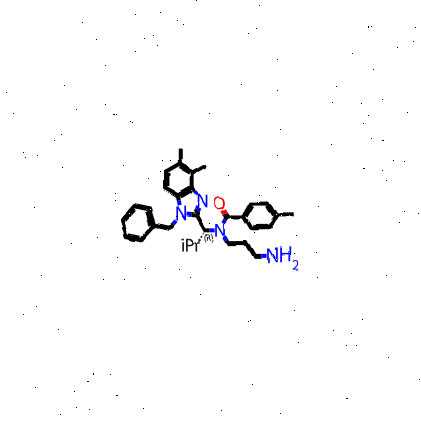 Cc1ccc(C(=O)N(CCCN)[C@@H](c2nc3c(C)c(C)ccc3n2Cc2ccccc2)C(C)C)cc1